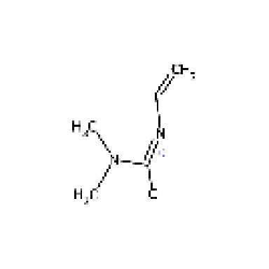 C=C/N=C(/Cl)N(C)C